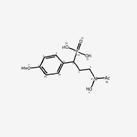 COc1ccc(C(CCN(O)C(C)=O)P(=O)(O)O)cc1